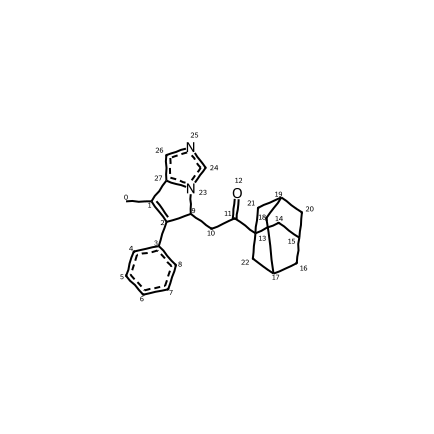 CC1=C(c2ccccc2)C(CC(=O)C23CC4CC(CC(C4)C2)C3)n2cncc21